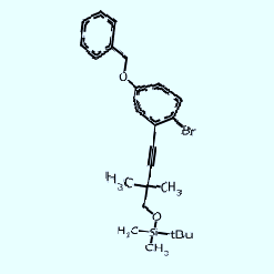 CC(C)(C#Cc1cc(OCc2ccccc2)ccc1Br)CO[Si](C)(C)C(C)(C)C